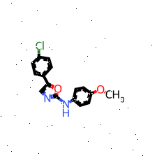 COc1ccc(Nc2ncc(-c3ccc(Cl)cc3)o2)cc1